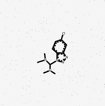 CN(C)[C](N(C)C)n1nnc2cc(Cl)ccc21